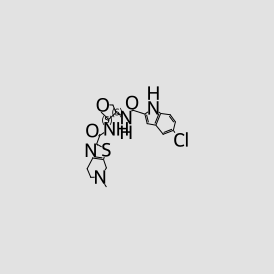 CN1CCc2nc(C(=O)N[C@@H]3COC[C@H]3NC(=O)c3cc4cc(Cl)ccc4[nH]3)sc2C1